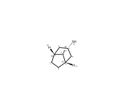 CN1[C@@H]2CC[C@H]1C[C@@H](S)C2